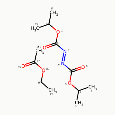 CC(C)OC(=O)N=NC(=O)OC(C)C.CCOC(C)=O